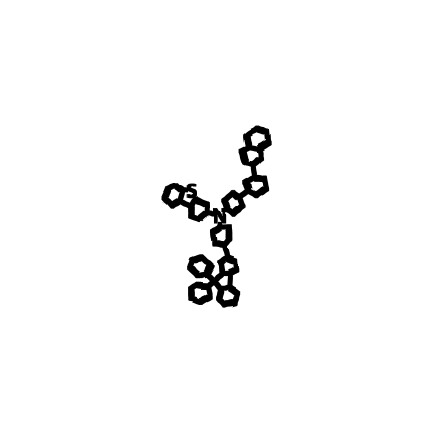 c1ccc(C2(c3ccccc3)c3ccccc3-c3ccc(-c4ccc(N(c5ccc(-c6cccc(-c7ccc8ccccc8c7)c6)cc5)c5ccc6c(c5)sc5ccccc56)cc4)cc32)cc1